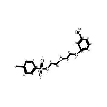 Cc1ccc(S(=O)(=O)OCCOCCOc2cccc(Br)c2)cc1